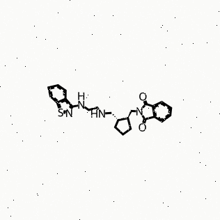 O=C1c2ccccc2C(=O)N1C[C@H]1CCC[C@@H]1CNCCNc1nsc2ccccc12